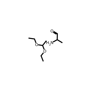 CC(N)C=O.CCOC(C)OCC